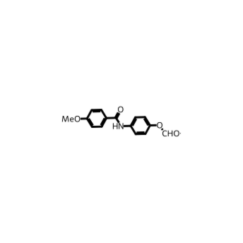 COc1ccc(C(=O)Nc2ccc(O[C]=O)cc2)cc1